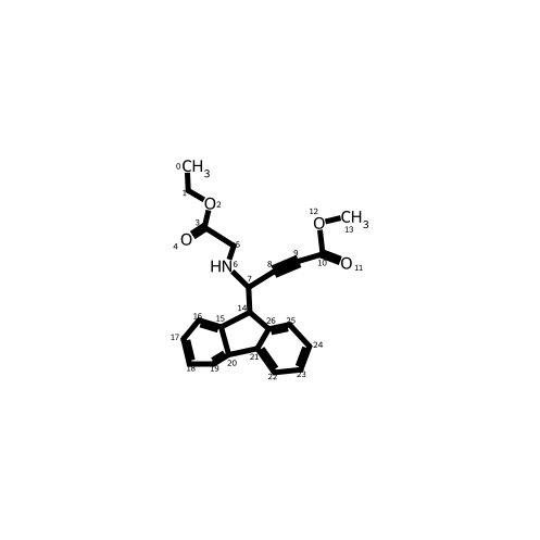 CCOC(=O)CNC(C#CC(=O)OC)C1c2ccccc2-c2ccccc21